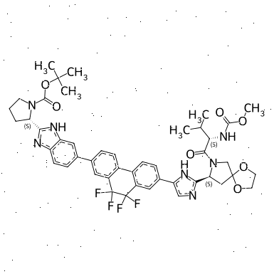 COC(=O)N[C@H](C(=O)N1CC2(C[C@H]1c1ncc(-c3ccc4c(c3)C(F)(F)C(F)(F)c3cc(-c5ccc6nc([C@@H]7CCCN7C(=O)OC(C)(C)C)[nH]c6c5)ccc3-4)[nH]1)OCCO2)C(C)C